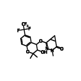 CN1N=C(OC2c3cc(C(F)(F)C(F)(F)F)ccc3OC(C)(C)C2O)C2CC2C1=O